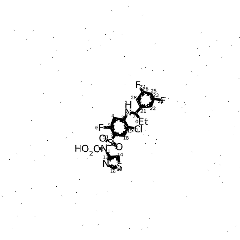 CCC(Nc1cc(F)c(S(=O)(=O)N(C(=O)O)c2cscn2)cc1Cl)c1cc(F)cc(F)c1